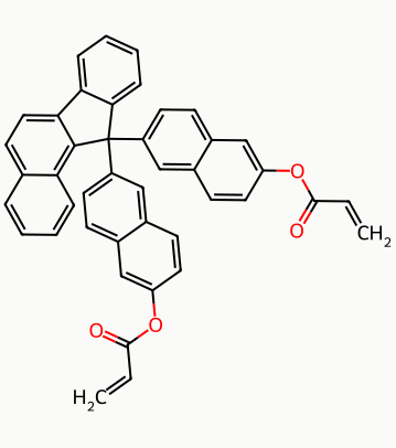 C=CC(=O)Oc1ccc2cc(C3(c4ccc5cc(OC(=O)C=C)ccc5c4)c4ccccc4-c4ccc5ccccc5c43)ccc2c1